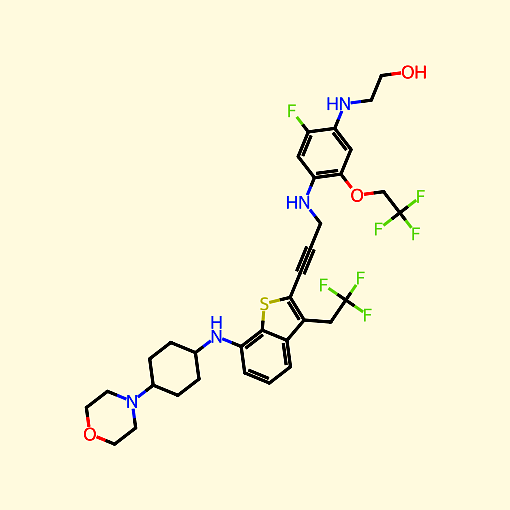 OCCNc1cc(OCC(F)(F)F)c(NCC#Cc2sc3c(NC4CCC(N5CCOCC5)CC4)cccc3c2CC(F)(F)F)cc1F